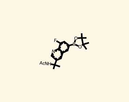 CC(=O)NC(C)(C)c1cnc2c(F)cc(B3OC(C)(C)C(C)(C)O3)cc2c1